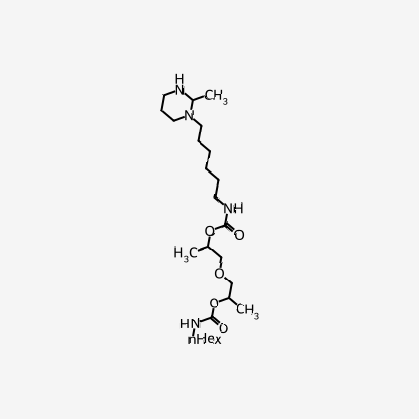 CCCCCCNC(=O)OC(C)COCC(C)OC(=O)NCCCCCCN1CCCNC1C